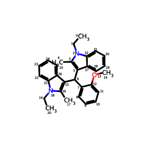 CCn1c(C)c(C(c2ccccc2OC)c2c(C)n(CC)c3ccccc23)c2ccccc21